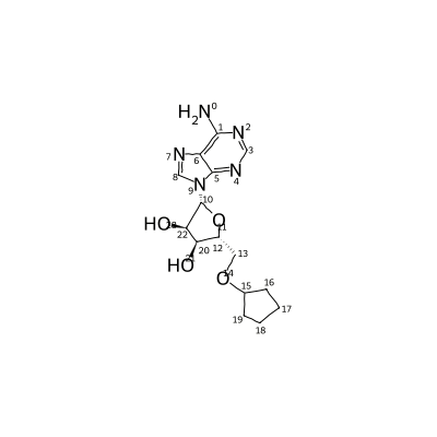 Nc1ncnc2c1ncn2[C@@H]1O[C@H](COC2CCCC2)[C@@H](O)[C@H]1O